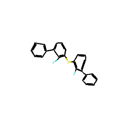 Fc1c(Sc2cccc(-c3ccccc3)c2F)cccc1-c1ccccc1